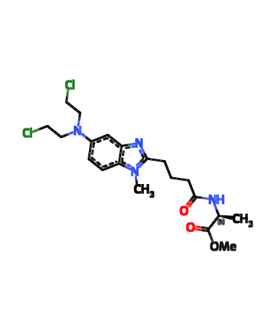 COC(=O)[C@H](C)NC(=O)CCCc1nc2cc(N(CCCl)CCCl)ccc2n1C